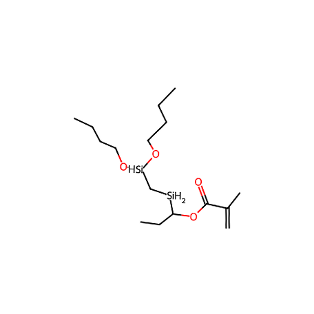 C=C(C)C(=O)OC(CC)[SiH2]C[SiH](OCCCC)OCCCC